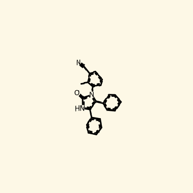 Cc1c(C#N)cccc1-n1c(-c2ccccc2)c(-c2ccccc2)[nH]c1=O